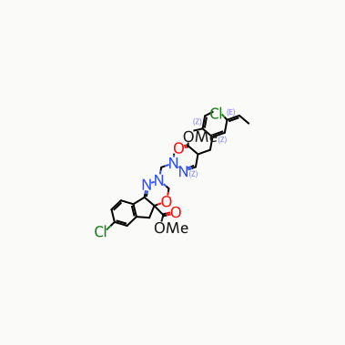 C\C=C(C)/C(=C\C(Cl)=C/C)CC(/C=N\N(C)CN1COC2(C(=O)OC)Cc3cc(Cl)ccc3C2=N1)C(=O)OC